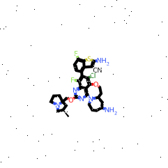 C[C@H]1CN2CCCC2(COc2nc3c4c(c(Cl)c(-c5ccc(F)c6sc(N)c(C#N)c56)c(F)c4n2)OCCC2CC(N)CCCN32)C1